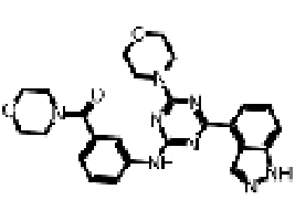 O=C(c1cccc(Nc2nc(-c3cccc4[nH]ncc34)nc(N3CCOCC3)n2)c1)N1CCOCC1